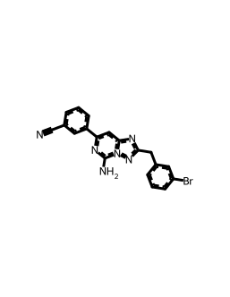 N#Cc1cccc(-c2cc3nc(Cc4cccc(Br)c4)nn3c(N)n2)c1